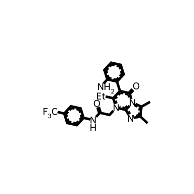 CCc1c(-c2ccccc2N)c(=O)n2c(C)c(C)nc2n1CC(=O)Nc1ccc(C(F)(F)F)cc1